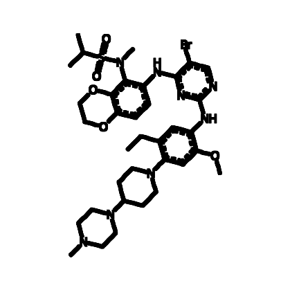 CCc1cc(Nc2ncc(Br)c(Nc3ccc4c(c3N(C)S(=O)(=O)C(C)C)OCCO4)n2)c(OC)cc1N1CCC(N2CCN(C)CC2)CC1